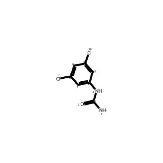 [NH]C(=O)Nc1cc(Cl)cc(Cl)c1